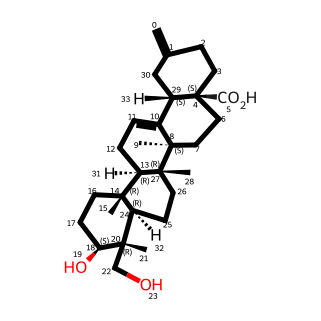 C=C1CC[C@]2(C(=O)O)CC[C@]3(C)C(=CC[C@@H]4[C@@]5(C)CC[C@H](O)[C@@](C)(CO)[C@@H]5CC[C@]43C)[C@@H]2C1